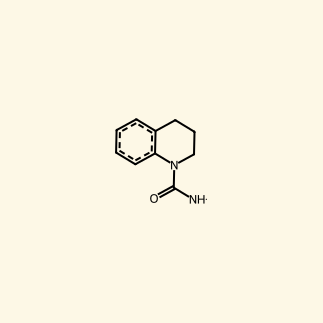 [NH]C(=O)N1CCCc2ccccc21